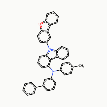 Cc1ccc(N(c2cccc(-c3ccccc3)c2)c2cccc3c2c2ccccc2n3-c2ccc3oc4ccccc4c3c2)cc1